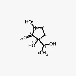 CC(O)[N+]1(O)CCN(O)C1=O